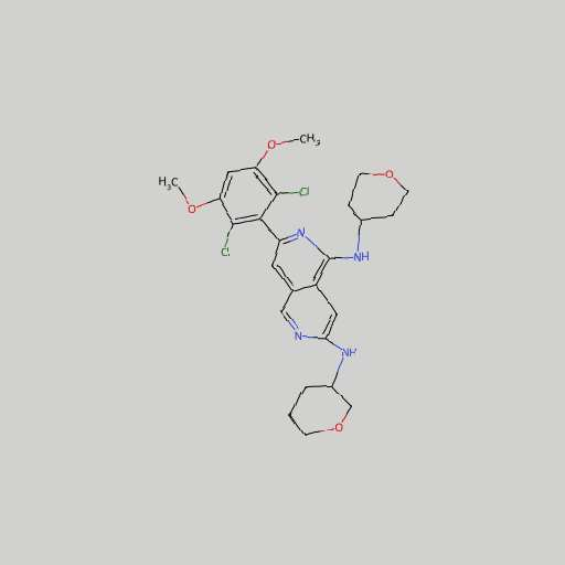 COc1cc(OC)c(Cl)c(-c2cc3cnc(NC4CCCOC4)cc3c(NC3CCOCC3)n2)c1Cl